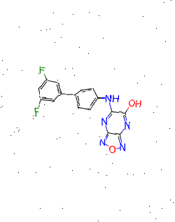 Oc1nc2nonc2nc1Nc1ccc(-c2cc(F)cc(F)c2)cc1